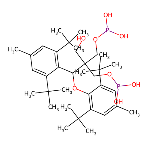 Cc1cc(C(C)(C)C)c(OC(c2c(C(C)(C)C)cc(C)cc2C(C)(C)C)C(CO)(COP(O)O)COP(O)O)c(C(C)(C)C)c1